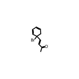 CC(=O)C=CC1(Br)C=CC=CC1